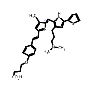 CC1=CC(/C=C/c2ccc(OCCCC(=O)O)cc2)=NC/1=C\c1[nH]c(-c2cccs2)cc1CCCN(C)C